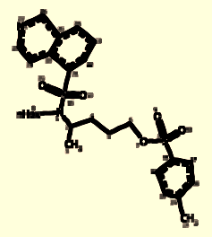 CCCCCCN(C(C)CCCOS(=O)(=O)c1ccc(C)cc1)S(=O)(=O)c1cccc2cnccc12